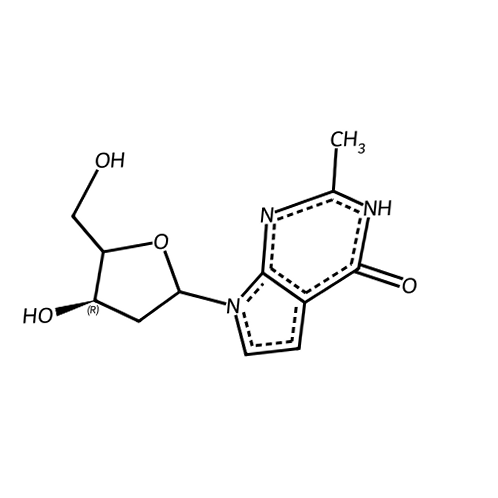 Cc1nc2c(ccn2C2C[C@@H](O)C(CO)O2)c(=O)[nH]1